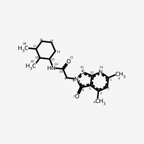 Cc1cc(C)c2c(=O)n(CC(=O)NC3CCCC(C)C3C)sc2n1